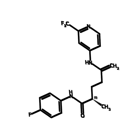 C=C(CC[C@H](C)C(=O)Nc1ccc(F)cc1)Nc1ccnc(C(F)(F)F)c1